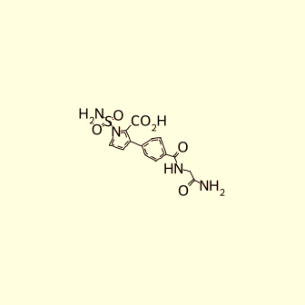 NC(=O)CNC(=O)c1ccc(-c2ccn(S(N)(=O)=O)c2C(=O)O)cc1